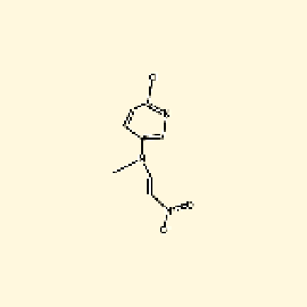 CN(C=C[N+](=O)[O-])c1ccc(Cl)nc1